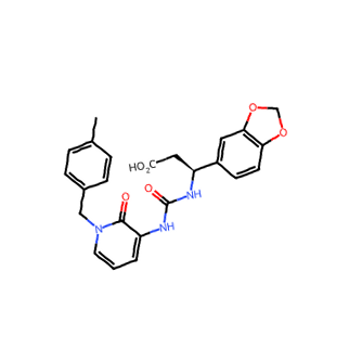 Cc1ccc(Cn2cccc(NC(=O)N[C@@H](CC(=O)O)c3ccc4c(c3)OCO4)c2=O)cc1